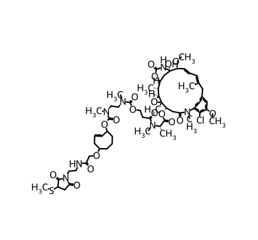 COc1cc2cc(c1Cl)N(C)C(=O)C[C@H](OC(=O)[C@H](C)N(C)C(=O)CCOC(=O)N(C)CCN(C)C(=O)OC1/C=C/CC(OCC(=O)NCCN3C(=O)CC(SC)C3=O)CCC1)[C@]1(C)O[C@H]1[C@H](C)[C@@H]1C[C@@](O)(NC(=O)O1)[C@H](OC)/C=C/C=C(\C)C2